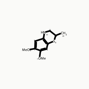 COc1cc2c(cc1OC)SC(C)CN2